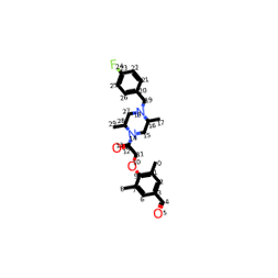 Cc1cc(C=O)cc(C)c1OCC(=O)N1CC(C)N(Cc2ccc(F)cc2)CC1C